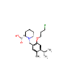 Cc1cc(CN2CCCC[C@H]2C(=O)O)c(OCCCF)cc1C(C)C